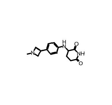 CN1CC(c2ccc(NC3CCC(=O)NC3=O)cc2)C1